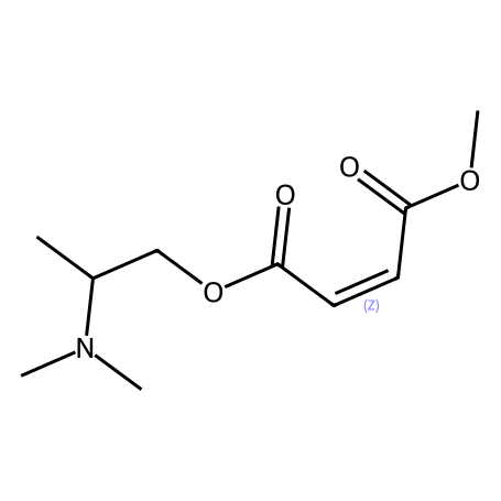 COC(=O)/C=C\C(=O)OCC(C)N(C)C